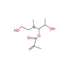 C=C(C)C(=O)OC(C(C)O)N(C)CCO